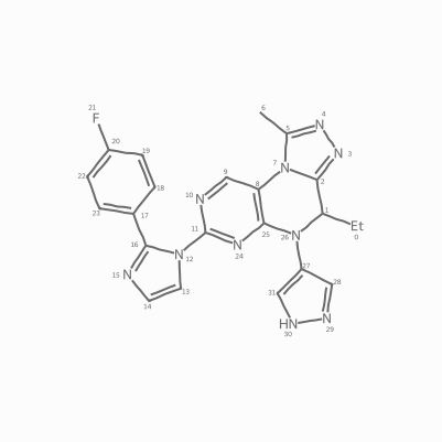 CCC1c2nnc(C)n2-c2cnc(-n3ccnc3-c3ccc(F)cc3)nc2N1c1cn[nH]c1